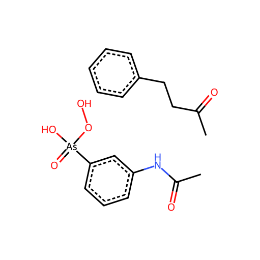 CC(=O)CCc1ccccc1.CC(=O)Nc1cccc([As](=O)(O)OO)c1